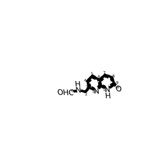 O=CNCc1ccc2ccc(=O)[nH]c2n1